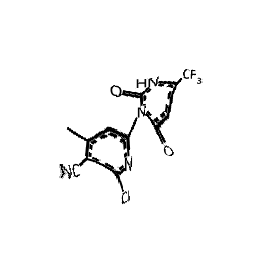 Cc1cc(-n2c(=O)cc(C(F)(F)F)[nH]c2=O)nc(Cl)c1C#N